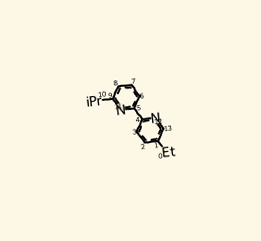 CCc1ccc(-c2cccc(C(C)C)n2)nc1